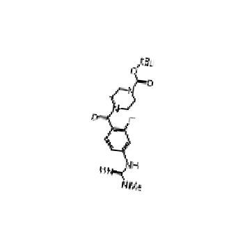 CNC(=N)Nc1ccc(C(=O)N2CCN(C(=O)OC(C)(C)C)CC2)c(F)c1